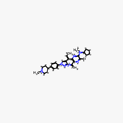 C=C(N)c1nc(CC)c(N(C)C2CCCC2)nc1/C(=C\C)c1cnn(-c2ccc(C3CCN(C)CC3)cc2)c1